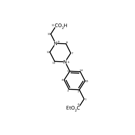 CCOC(=O)Cc1ccc(N2CCN(CC(=O)O)CC2)cc1